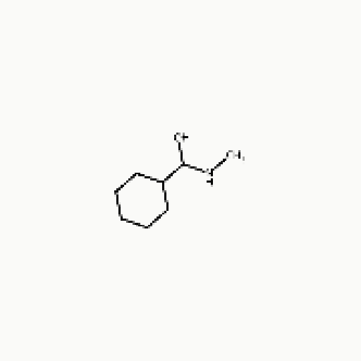 CNC(O)C1CCCCC1